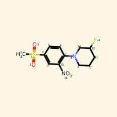 CS(=O)(=O)c1ccc(N2CCCC(F)C2)c([N+](=O)[O-])c1